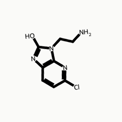 NCCn1c(O)nc2ccc(Cl)nc21